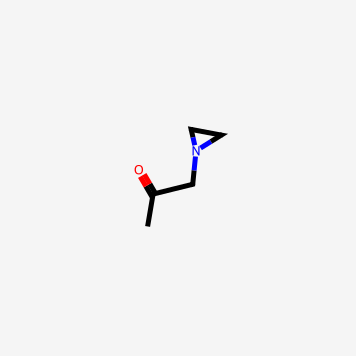 CC(=O)CN1CC1